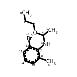 CCCOC(C)Nc1c(C)cccc1Br